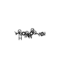 COc1cc2c(Oc3ccc(NC(=O)C4C[C@H]4C)cc3F)ncnc2cc1OCCCN1CCN(C)CC1